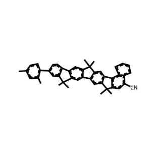 Cc1ccc(-c2ccc3c(c2)C(C)(C)c2cc4c(cc2-3)C(C)(C)c2cc3c(cc2-4)C(C)(C)c2cc(C#N)c4ccccc4c2-3)c(C)c1